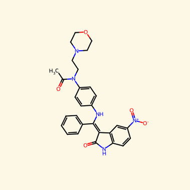 CC(=O)N(CCN1CCOCC1)c1ccc(NC(=C2C(=O)Nc3ccc([N+](=O)[O-])cc32)c2ccccc2)cc1